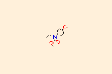 CCN(C(=O)OC)c1ccc(OC)cc1